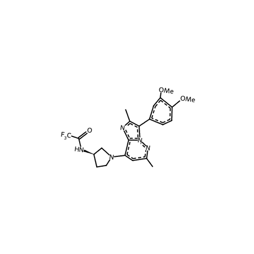 COc1ccc(-c2c(C)nc3c(N4CC[C@@H](NC(=O)C(F)(F)F)C4)cc(C)nn23)cc1OC